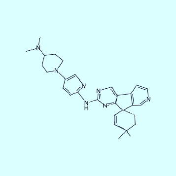 CN(C)C1CCN(c2ccc(Nc3ncc4c(n3)C3(C=CC(C)(C)CC3)c3cnccc3-4)nc2)CC1